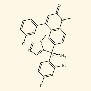 CCc1cc(Cl)ccc1[C@@](N)(c1ccc2c(c1)c(-c1cccc(Cl)c1)cc(=O)n2C)c1cncn1C